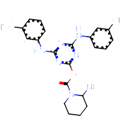 NC1CCCCN1C(=O)Oc1nc(Nc2cccc(C(F)(F)F)c2)nc(Nc2cccc(C(F)(F)F)c2)n1